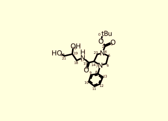 CC(C)(C)OC(=O)N1CCN(c2ccccc2)C(C(=O)NCC(O)CO)C1